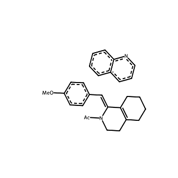 COc1ccc(C=C2C3=C(CCCC3)CCN2C(C)=O)cc1.c1ccc2ncccc2c1